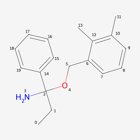 CCC(N)(OCc1cccc(C)c1C)c1ccccc1